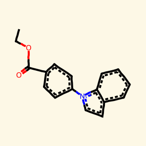 CCOC(=O)c1ccc(-n2ccc3ccccc32)cc1